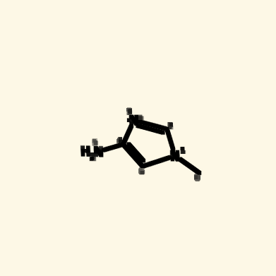 CN1C=[N+]C(N)=C1